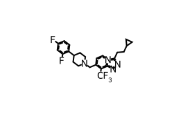 Fc1ccc(C2CCN(Cc3ccn4c(CCC5CC5)nnc4c3C(F)(F)F)CC2)c(F)c1